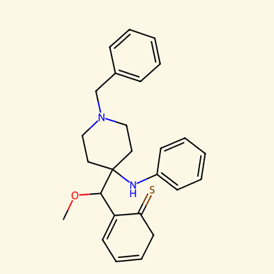 COC(C1=CC=CCC1=S)C1(Nc2ccccc2)CCN(Cc2ccccc2)CC1